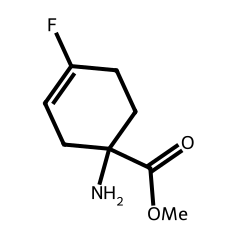 COC(=O)C1(N)CC=C(F)CC1